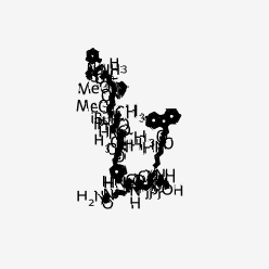 CC[C@H](C)[C@@H]([C@@H](CC(=O)N1CCC[C@H]1[C@H](OC)[C@@H](C)C(=O)N[C@@H](Cc1ccccc1)c1nccs1)OC)N(C)C(=O)[C@@H](NC(=O)C(C)(C)NC(=O)OCc1ccc(NC(=O)[C@H](CCCNC(N)=O)NC(=O)[C@@H](NC(=O)[C@H](CCCCNC(=O)OCC2c3ccccc3-c3ccccc32)NC(=O)CO)C(C)C)cc1)C(C)C